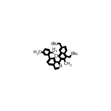 Cc1ccc(C)c(-c2ccc3ccnc(-c4cc5cc(CC(C)(C)C)ccc5c(CC(C)(C)C)c4C)c3c2C)c1